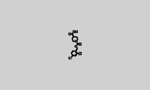 O=C(O)C1CCN(C(=O)OCc2ccc(Cl)cc2Cl)CC1